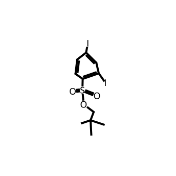 CC(C)(C)COS(=O)(=O)c1ccc(I)cc1I